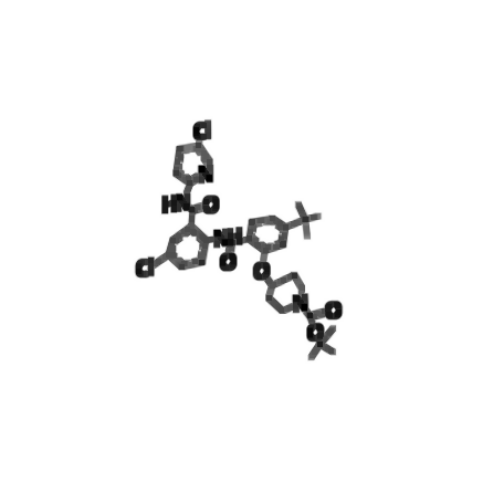 CC(C)(C)OC(=O)N1CCC(Oc2cc(C(C)(C)C)ccc2C(=O)Nc2ccc(Cl)cc2C(=O)Nc2ccc(Cl)cn2)CC1